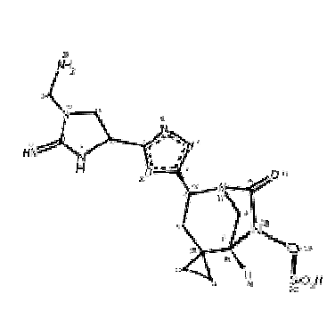 N=C1NC(c2nnc([C@@H]3CC4(CC4)[C@@H]4CN3C(=O)N4OS(=O)(=O)O)o2)CN1CN